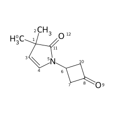 CC1(C)C=CN(C2CC(=O)C2)C1=O